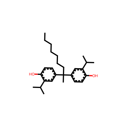 CCCCCCCC(C)(c1ccc(O)c(C(C)C)c1)c1ccc(O)c(C(C)C)c1